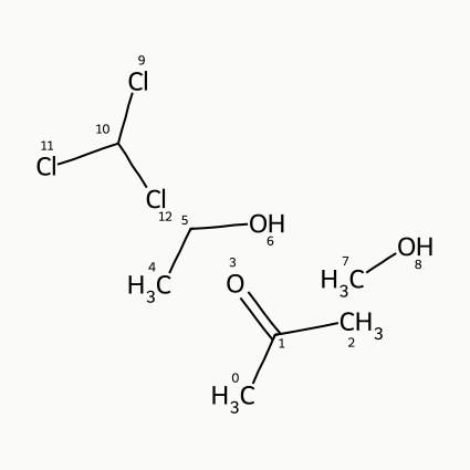 CC(C)=O.CCO.CO.ClC(Cl)Cl